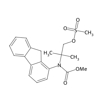 COC(=O)N(c1cccc2c1Cc1ccccc1-2)C(C)(C)COS(C)(=O)=O